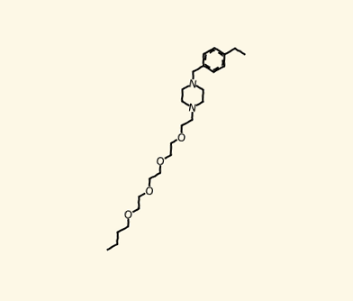 CCCCOCCOCCOCCOCCN1CCN(Cc2ccc(CC)cc2)CC1